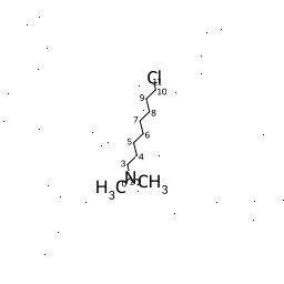 CN(C)CCCCCCCCCl